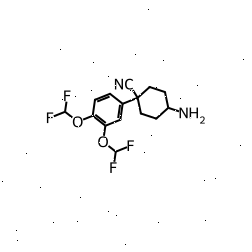 N#CC1(c2ccc(OC(F)F)c(OC(F)F)c2)CCC(N)CC1